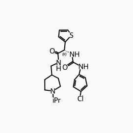 CC(C)N1CCC(CNC(=O)[C@@H](NC(=O)Nc2ccc(Cl)cc2)c2cccs2)CC1